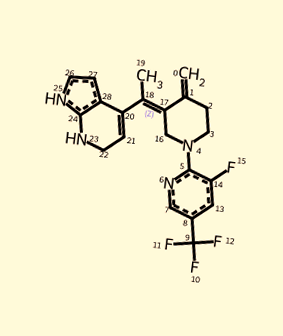 C=C1CCN(c2ncc(C(F)(F)F)cc2F)C/C1=C(/C)C1=CCNc2[nH]ccc21